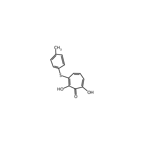 Cc1ccc(Sc2cccc(O)c(=O)c2O)cc1